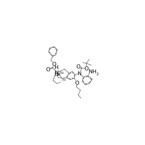 CCCCOc1cc2c(cc1N(C(=O)OC(C)(C)C)c1ccccc1N)C[C@H]1[C@H]3CCCC[C@@]23CCN1C(=O)OCc1ccccc1